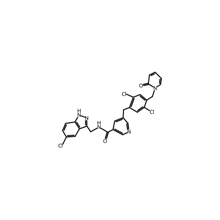 O=C(NCc1n[nH]c2ccc(Cl)cc12)c1cncc(Cc2cc(Cl)c(Cn3ccccc3=O)cc2Cl)c1